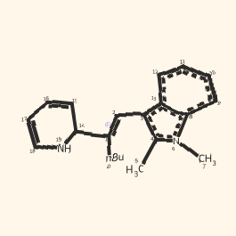 CCCC/C(=C\c1c(C)n(C)c2ccccc12)C1C=CC=CN1